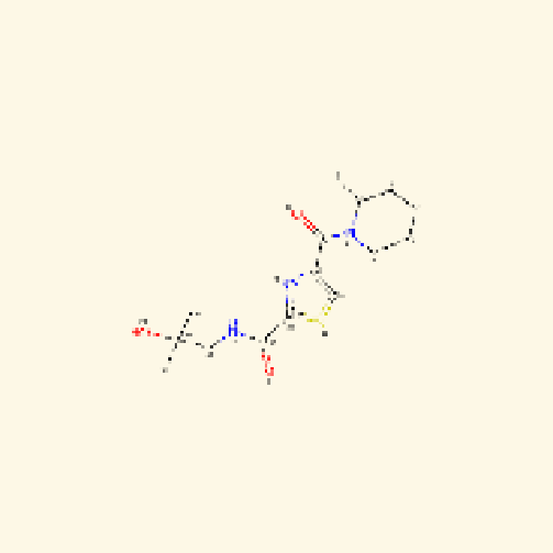 CC1CCCCN1C(=O)c1csc(C(=O)NCC(C)(C)O)n1